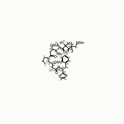 CC[C@H](C)[C@@H]([C@@H](CC(=O)N1CCC[C@H]1[C@H](OC)[C@@H](C)C(=O)N[C@@H](Cc1ccccc1)c1nccs1)OC)N(C)C(=O)C(N)(C(=O)C(C)(C)CNC)C(C)C